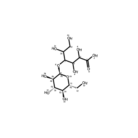 O=C(O)C(O)C(O)C(O[C@H]1O[C@H](CO)[C@@H](O)[C@H](O)[C@H]1O)C(O)CO